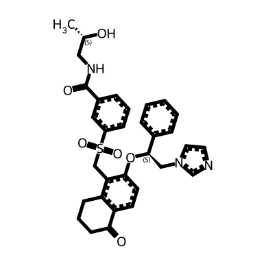 C[C@H](O)CNC(=O)c1cccc(S(=O)(=O)Cc2c(O[C@H](Cn3ccnc3)c3ccccc3)ccc3c2CCCC3=O)c1